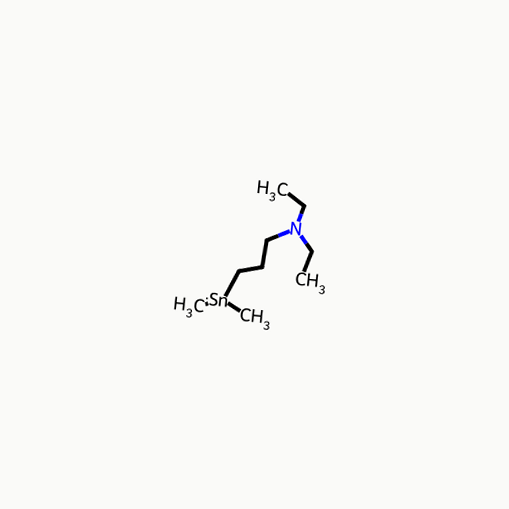 CCN(CC)CC[CH2][Sn]([CH3])[CH3]